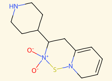 [O-][N+]1([O-])SN2CC=CC=C2CC1C1CCNCC1